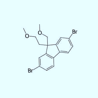 COCCC1(COC)c2cc(Br)ccc2-c2ccc(Br)cc21